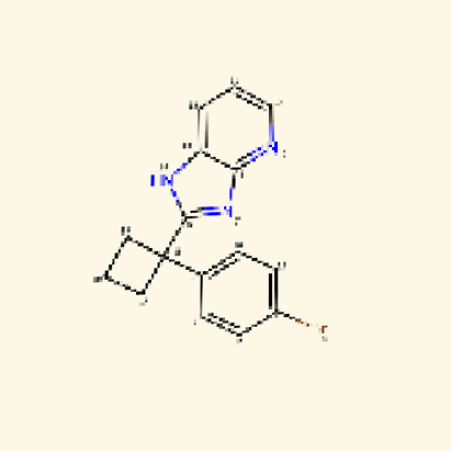 Brc1ccc(C2(c3nc4ncccc4[nH]3)CCC2)cc1